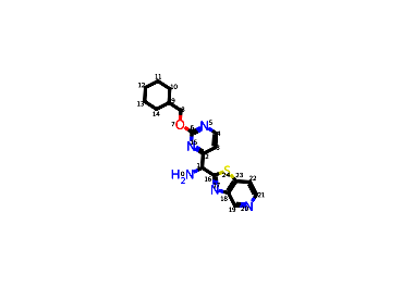 NC(c1ccnc(OCC2CCCCC2)n1)c1nc2cnccc2s1